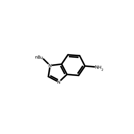 CCCCn1cnc2cc(N)ccc21